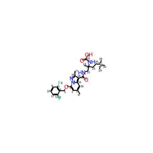 Cc1cc(OCc2c(F)cccc2F)n2nc(C)c(C(=O)NCC(C)(CC[Si](C)(C)C)NC(=O)O)c2c1